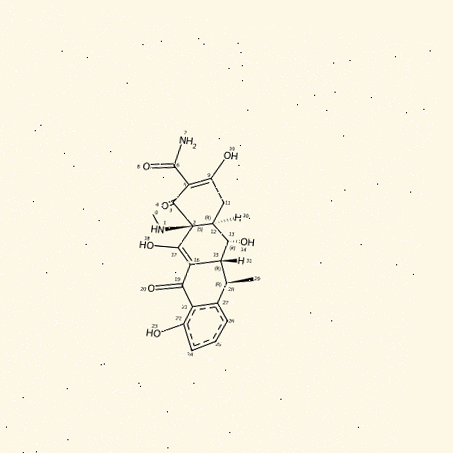 CN[C@@]12C(=O)C(C(N)=O)=C(O)C[C@H]1[C@H](O)[C@H]1C(=C2O)C(=O)c2c(O)cccc2[C@@H]1C